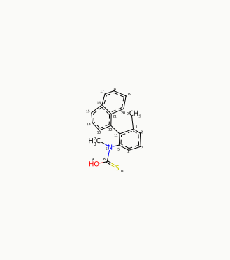 Cc1cccc(N(C)C(O)=S)c1-c1cccc2ccccc12